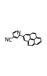 N#Cc1ccnc(-c2cc3ccc4cccc5ccc(c2)c3c45)c1